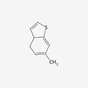 CC1=CCC2C=CSC2=C1